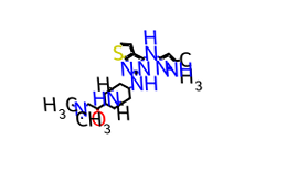 Cc1cc(Nc2nc(N[C@@H]3C[C@H]4CC(C(=O)CN(C)C)C[C@@H](C3)N4)nc3sccc23)n[nH]1